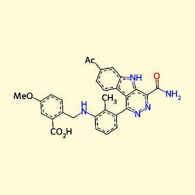 COc1ccc(CNc2cccc(-c3nnc(C(N)=O)c4[nH]c5cc(C(C)=O)ccc5c34)c2C)c(C(=O)O)c1